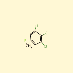 CF.Clc1cccc(Cl)c1Cl